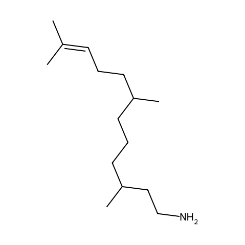 CC(C)=CCCC(C)CCCC(C)CCN